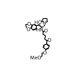 COCCOc1ccc(C(=O)CCCC(=O)N[C@H](CN2CCCC2)[C@H](O)c2ccc3c(c2)OCCO3)cc1